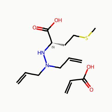 C=CC(=O)O.C=CCN(CC=C)N[C@@H](CCSC)C(=O)O